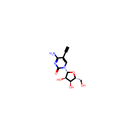 C#Cc1cn([C@@H]2O[C@H](CO)[C@@H](O)[C@H]2O)c(=O)nc1N